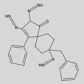 N=NC1=C(c2ccccc2)C2(CCC(Cc3ccccc3)(N=N)CC2)C(=O)C1N=N